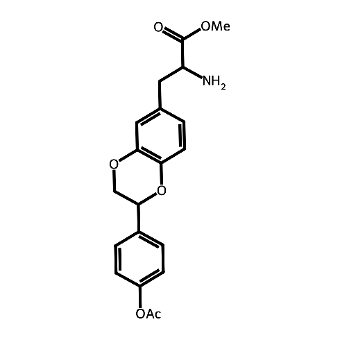 COC(=O)C(N)Cc1ccc2c(c1)OCC(c1ccc(OC(C)=O)cc1)O2